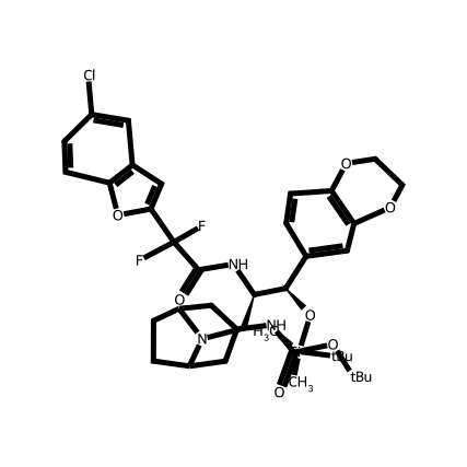 CC(C)(C)OC(=O)NC1CC2CCC(C1)N2C[C@@H](NC(=O)C(F)(F)c1cc2cc(Cl)ccc2o1)[C@H](O[Si](C)(C)C(C)(C)C)c1ccc2c(c1)OCCO2